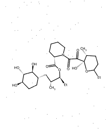 CCC1CC[C@@H](C)[C@](O)(C(=O)C(=O)N2CCCC[C@H]2C(=O)O[C@@H](CC)[C@H](C)C[C@@H]2CC[C@@H](O)[C@H](O)[C@H]2O)O1